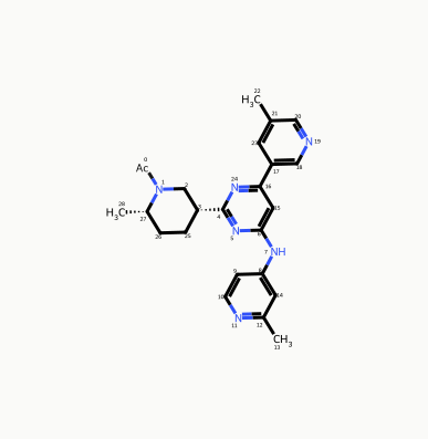 CC(=O)N1C[C@H](c2nc(Nc3ccnc(C)c3)cc(-c3cncc(C)c3)n2)CC[C@@H]1C